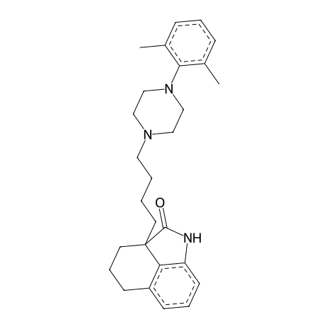 Cc1cccc(C)c1N1CCN(CCCCC23CCCc4cccc(c42)NC3=O)CC1